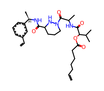 C=CCCCCC(=O)OC(C(=O)NC(C)C(=O)N1CCCC(C(=O)N[C@H](C)c2cccc(C=C)c2)N1)C(C)C